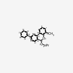 CCCOC1Oc2c(C)cccc2-c2nc(-c3ccccc3)ncc21